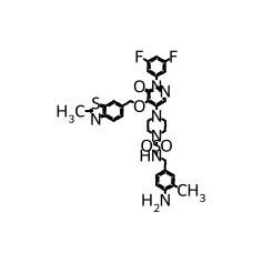 Cc1nc2ccc(COc3c(N4CCN(S(=O)(=O)NCc5ccc(N)c(C)c5)CC4)cnn(-c4cc(F)cc(F)c4)c3=O)cc2s1